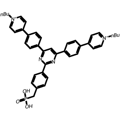 CCCC[n+]1ccc(-c2ccc(-c3cc(-c4ccc(-c5cc[n+](CCCC)cc5)cc4)nc(-c4ccc(CP(=O)(O)O)cc4)n3)cc2)cc1